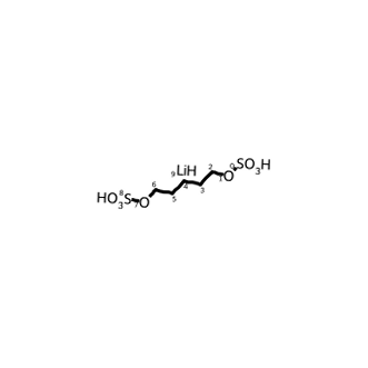 O=S(=O)(O)OCCCCCOS(=O)(=O)O.[LiH]